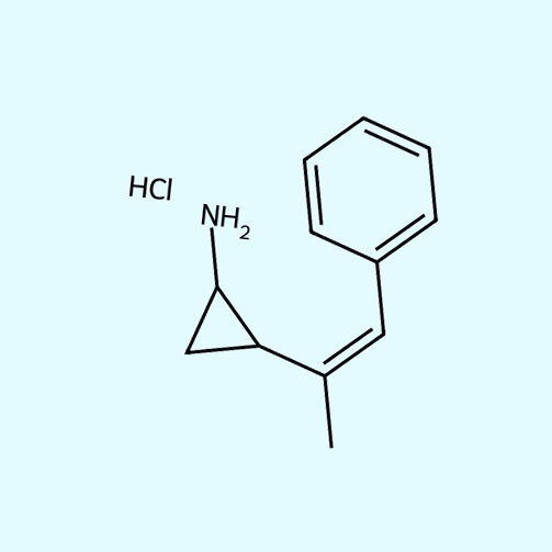 CC(=Cc1ccccc1)C1CC1N.Cl